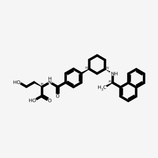 C[C@@H](N[C@H]1CCC[C@H](c2ccc(C(=O)N[C@H](CCO)C(=O)O)cc2)C1)c1cccc2ccccc12